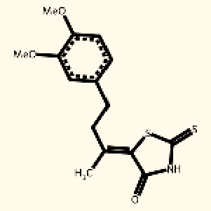 COc1ccc(CCC(C)=C2SC(=S)NC2=O)cc1OC